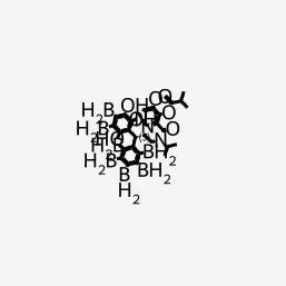 Bc1c(B)c(B)c(C(c2c(O)c(B)c(B)c(O)c2O)[C@H]2CN(C(C)C)C(=O)c3c(OC(=O)C(C)C)c(=O)cnn32)c(B)c1B